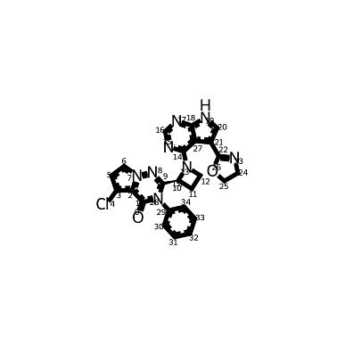 O=c1c2c(Cl)ccn2nc([C@@H]2CCN2c2ncnc3[nH]cc(C4=NCCO4)c23)n1-c1ccccc1